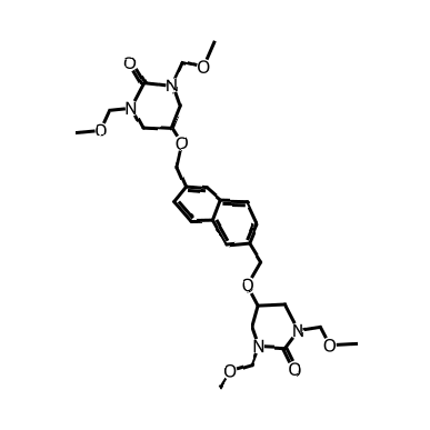 COCN1CC(OCc2ccc3cc(COC4CN(COC)C(=O)N(COC)C4)ccc3c2)CN(COC)C1=O